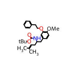 COc1ccc(CC(CC=C(C)C)NC(=O)OC(C)(C)C)cc1OCCc1ccccc1